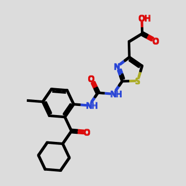 Cc1ccc(NC(=O)Nc2nc(CC(=O)O)cs2)c(C(=O)C2CCCCC2)c1